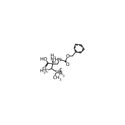 CC([SiH](C)C)[C@@](N)(CNC(=O)OCc1ccccc1)C(=O)O